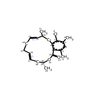 Cc1cc(C)c2c(c1Cl)CC(C)/C=C/CC/C=C/C[C@@H](C)OC2=O